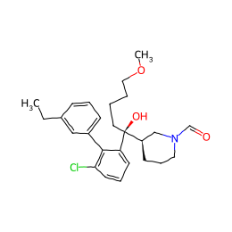 CCc1cccc(-c2c(Cl)cccc2[C@](O)(CCCCOC)[C@@H]2CCCN(C=O)C2)c1